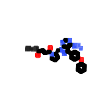 COC(=O)/C=C/C(=O)N1CCC[C@@H]1Cn1nc(-c2ccc(Oc3ccccc3)cc2)c2c(N)ncnc21